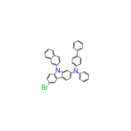 Brc1ccc2c(c1)c1ccc(N(c3ccccc3)c3ccc(-c4ccccc4)cc3)cc1n2-c1ccc2ccccc2c1